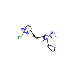 C=C(N)c1nc(C#Cc2ccnc(Cl)n2)c(C)n1-c1ccc(C)nc1